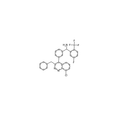 NC(c1cccc(-c2c(Cc3ccccc3)nnc3c(Cl)cccc23)c1)c1cc(F)ccc1C(F)(F)F